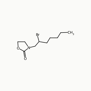 CCCCCC(Br)CN1CCOC1=O